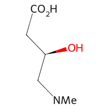 CNC[C@H](O)CC(=O)O